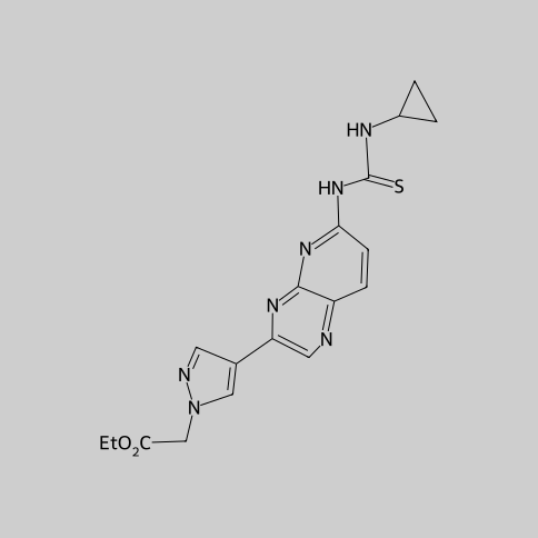 CCOC(=O)Cn1cc(-c2cnc3ccc(NC(=S)NC4CC4)nc3n2)cn1